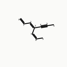 C=C/C=C(C#CC)\C=C/C